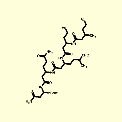 CCCCCC(CC(N)=O)NC(=O)CC(CCC(N)=O)NC(=O)CC(CCC(C)C=O)NC(=O)CC(CCC(C)=O)NC(=O)CC(C)CCC(C)=O